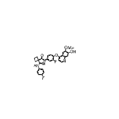 COc1cc2c(Oc3ccc(NC(=O)C4(C(=O)Nc5ccc(F)cc5)CCC4)cc3F)ccnc2cc1O